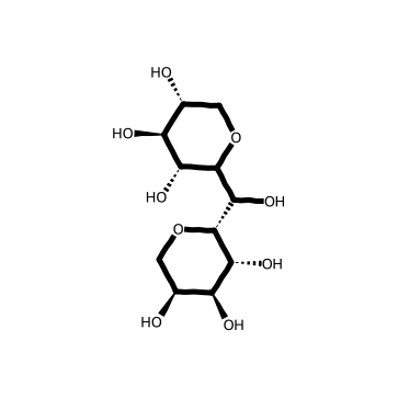 OC([C]1OC[C@@H](O)[C@H](O)[C@H]1O)[C@H]1OC[C@H](O)[C@H](O)[C@H]1O